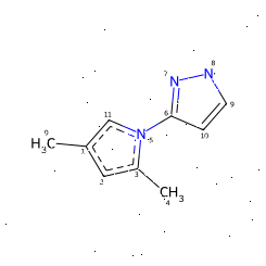 Cc1cc(C)n(C2=N[N]C=C2)c1